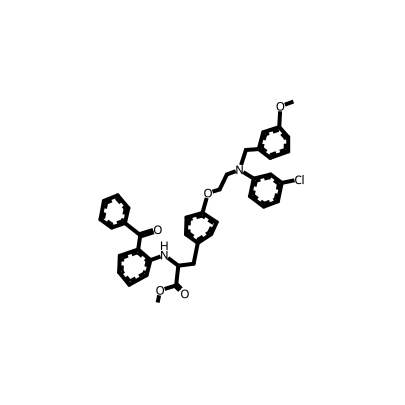 COC(=O)C(Cc1ccc(OCCN(Cc2cccc(OC)c2)c2cccc(Cl)c2)cc1)Nc1ccccc1C(=O)c1ccccc1